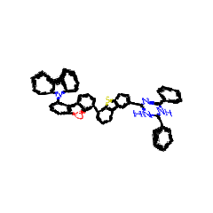 c1ccc(C2=NC(c3ccc4sc5c(-c6cccc7c6oc6cccc(-n8c9ccccc9c9ccccc98)c67)cccc5c4c3)NC(c3ccccc3)N2)cc1